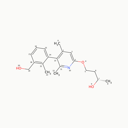 Cc1cc(OCC[C@H](C)O)nc(C)c1-c1cccc(CO)c1C